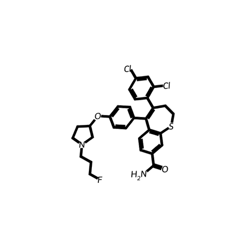 NC(=O)c1ccc2c(c1)SCCC(c1ccc(Cl)cc1Cl)=C2c1ccc(OC2CCN(CCCF)C2)cc1